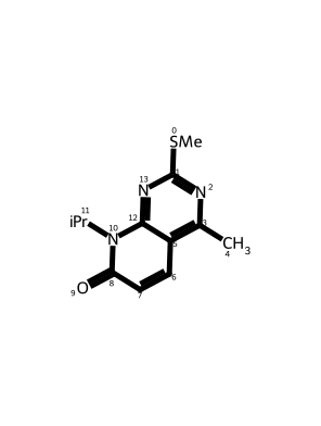 CSc1nc(C)c2ccc(=O)n(C(C)C)c2n1